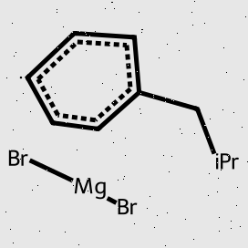 CC(C)Cc1cc[c]cc1.[Br][Mg][Br]